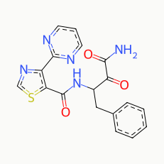 NC(=O)C(=O)C(Cc1ccccc1)NC(=O)c1scnc1-c1ncccn1